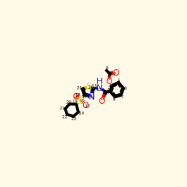 CC(=O)Oc1ccccc1C(=O)Nc1nc(S(=O)(=O)C2CCCCC2)cs1